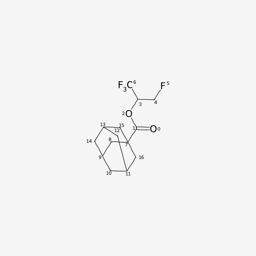 O=C(OC(CF)C(F)(F)F)C12CC3CC(CC(C3)C1)C2